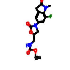 CN1C(=O)Cc2cc(N3CC(CNC(=O)OC(C)(C)C)OC3=O)cc(F)c21